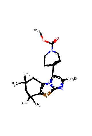 CCOC(=O)c1nc2sc3c(n2c1C1=CCN(C(=O)OC(C)(C)C)CC1)CC(C)(C)CC3(C)C